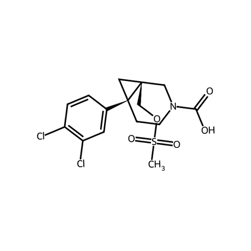 CS(=O)(=O)OC[C@@]12CN(C(=O)O)CC[C@]1(c1ccc(Cl)c(Cl)c1)C2